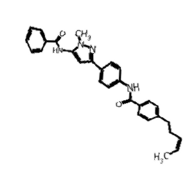 C/C=C\CCc1ccc(C(=O)Nc2ccc(-c3cc(NC(=O)c4ccccc4)n(C)n3)cc2)cc1